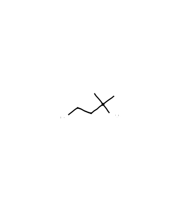 [CH2]CCCCCC(C)(C)OC